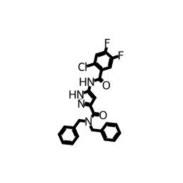 O=C(Nc1cc(C(=O)N(Cc2ccccc2)Cc2ccccc2)n[nH]1)c1cc(F)c(F)cc1Cl